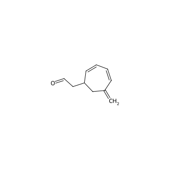 C=C1C=CC=CC(CC=O)C1